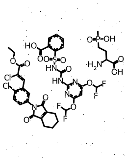 CCOC(=O)/C(Cl)=C/c1cc(N2C(=O)C3=C(CCCC3)C2=O)ccc1Cl.CP(=O)(O)CCC(N)C(=O)O.O=C(Nc1nc(OC(F)F)cc(OC(F)F)n1)NS(=O)(=O)c1ccccc1C(=O)O